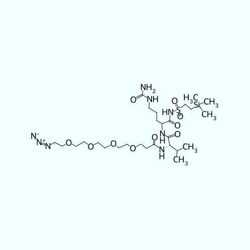 CC(C)[C@H](NC(=O)CCOCCOCCOCCOCCN=[N+]=[N-])C(=O)NC(CCCNC(N)=O)C(=O)NS(=O)(=O)CC[Si](C)(C)C